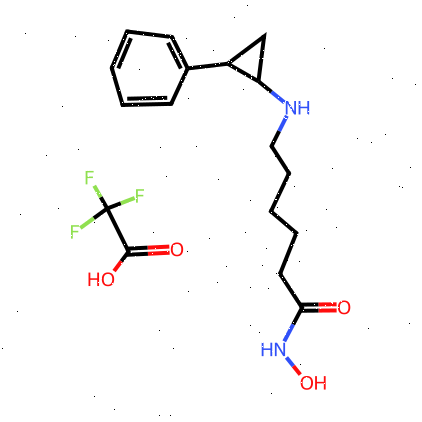 O=C(CCCCCNC1CC1c1ccccc1)NO.O=C(O)C(F)(F)F